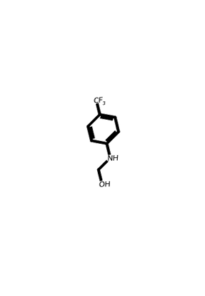 OCNc1ccc(C(F)(F)F)cc1